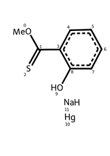 COC(=S)c1ccccc1O.[Hg].[NaH]